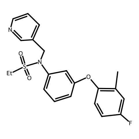 CCS(=O)(=O)N(Cc1cccnc1)c1cccc(Oc2ccc(F)cc2C)c1